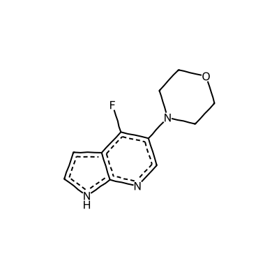 Fc1c(N2CCOCC2)cnc2[nH]ccc12